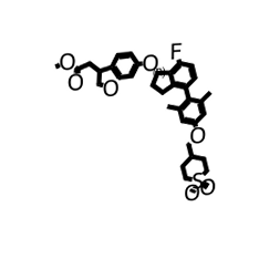 COC(=O)CC1COc2cc(O[C@@H]3CCc4c(-c5c(C)cc(OCC6CCS(=O)(=O)CC6)cc5C)ccc(F)c43)ccc21